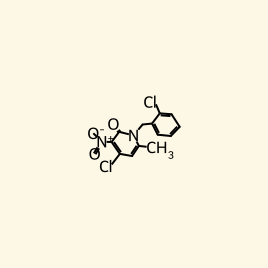 Cc1cc(Cl)c([N+](=O)[O-])c(=O)n1Cc1ccccc1Cl